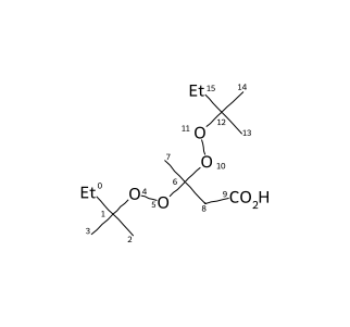 CCC(C)(C)OOC(C)(CC(=O)O)OOC(C)(C)CC